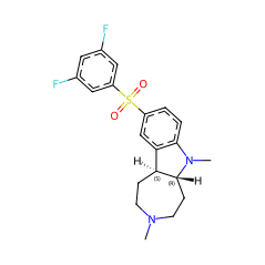 CN1CC[C@@H]2[C@@H](CC1)c1cc(S(=O)(=O)c3cc(F)cc(F)c3)ccc1N2C